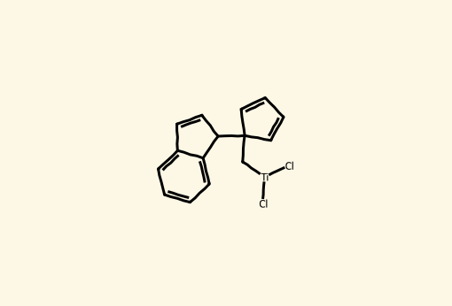 [Cl][Ti]([Cl])[CH2]C1(C2C=Cc3ccccc32)C=CC=C1